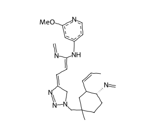 C=N/C(=C\C=C1/CN(CC2(C)CC[C@@H](N=C)C(/C=C\C)C2)N=N1)Nc1ccnc(OC)c1